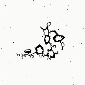 COc1ccc(CN2C(=O)C(C)Oc3ccc(Nc4nc(Nc5cccc(S(N)(=O)=O)c5)ncc4F)cc32)cc1